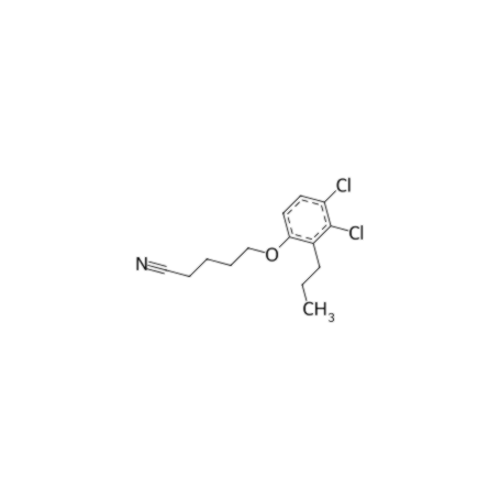 CCCc1c(OCCCCC#N)ccc(Cl)c1Cl